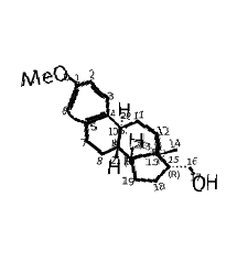 COc1ccc2c(c1)CC[C@@H]1[C@@H]2CC[C@]2(C)[C@H](CO)CC[C@H]12